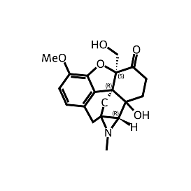 COc1ccc2c3c1O[C@@]1(CO)C(=O)CCC4(O)[C@@H]5N(C)C5(C2)C[C@@]341